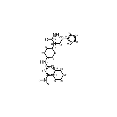 CN(C)c1nc(NC2CCC(N(CCc3cccs3)C(N)=O)CC2)nc2c1CCCC2